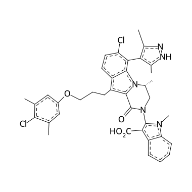 Cc1cc(OCCCc2c3n(c4c(-c5c(C)n[nH]c5C)c(Cl)ccc24)[C@H](C)CN(c2c(C(=O)O)c4ccccc4n2C)C3=O)cc(C)c1Cl